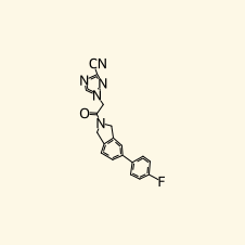 N#Cc1ncn(CC(=O)N2Cc3ccc(-c4ccc(F)cc4)cc3C2)n1